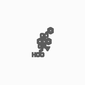 O=C(O)CCC(=O)N(C1CC1)[C@H]1c2ccccc2N(C(=O)OCc2ccccc2)[C@@H]2CCCC[C@@H]21